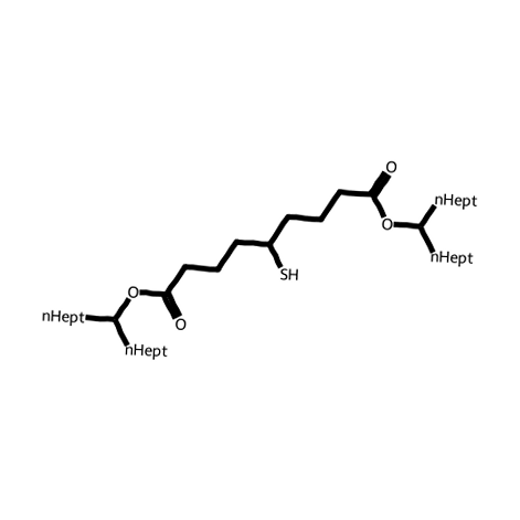 CCCCCCCC(CCCCCCC)OC(=O)CCCC(S)CCCC(=O)OC(CCCCCCC)CCCCCCC